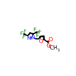 COC(=O)c1ccc(Cn2nc(C(F)(F)F)cc2C(F)(F)F)o1